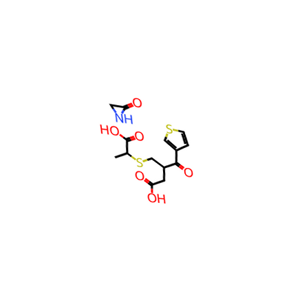 CC(SCC(CC(=O)O)C(=O)c1ccsc1)C(=O)O.O=C1CN1